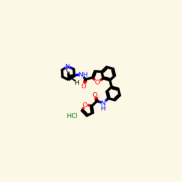 Cl.O=C(Nc1cccc(-c2cccc3cc(C(=O)N[C@H]4CN5CCC4CC5)oc23)c1)c1ccco1